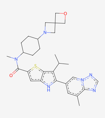 Cc1cc(-c2[nH]c3cc(C(=O)N(C)C4CCC(N5CC6(COC6)C5)CC4)sc3c2C(C)C)cn2ncnc12